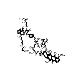 COc1cccc2c1C(=O)c1c(O)c3c(c(O)c1C2=O)C[C@@](O)(C(=O)COC(=O)N(C)CCN(C)CCN(C)C(=O)OCc1ccc(NC(=O)[C@H](CCCNC(N)=O)NC(=O)C2(C(=O)NCCCCCNC(=O)/C=C\C=O)CCC2)cc1)C[C@@H]3O[C@H]1C[C@H]2[C@@H](CO1)O[C@@H]1[C@@H](OC)OCCN12